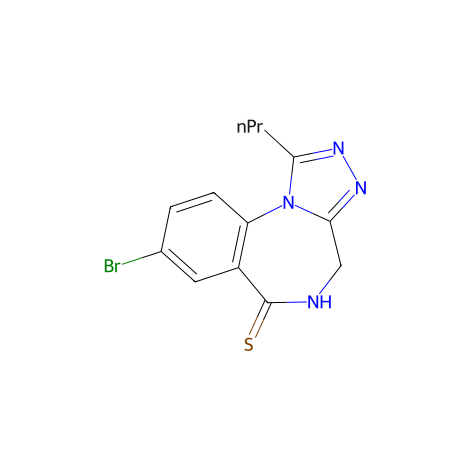 CCCc1nnc2n1-c1ccc(Br)cc1C(=S)NC2